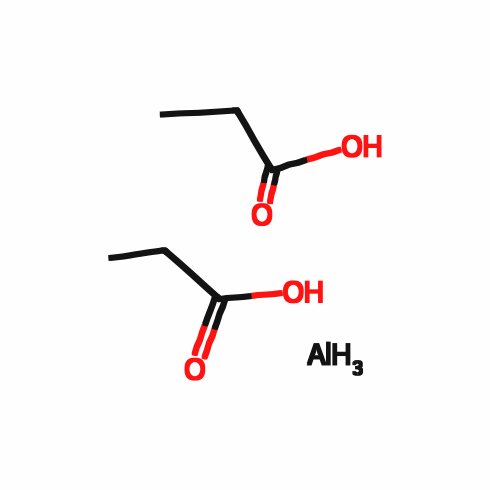 CCC(=O)O.CCC(=O)O.[AlH3]